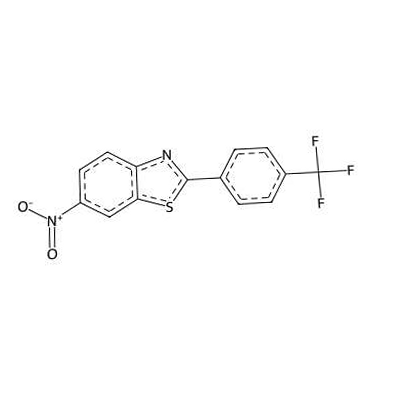 O=[N+]([O-])c1ccc2nc(-c3ccc(C(F)(F)F)cc3)sc2c1